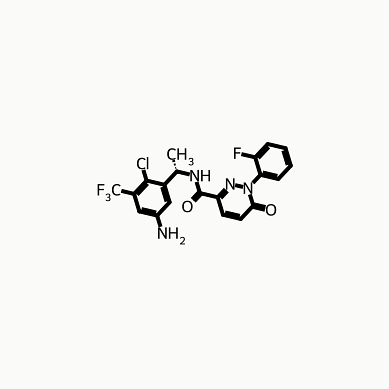 C[C@H](NC(=O)c1ccc(=O)n(-c2ccccc2F)n1)c1cc(N)cc(C(F)(F)F)c1Cl